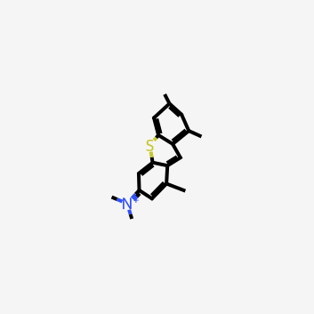 Cc1cc(C)c2cc3c(C)cc(=[N+](C)C)cc-3sc2c1